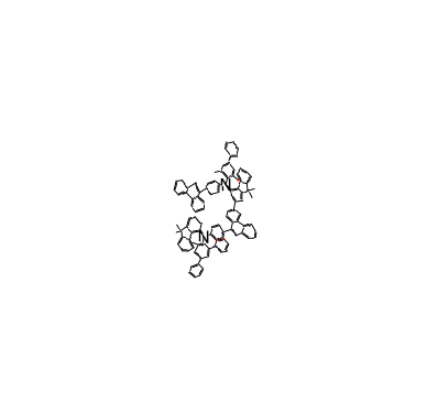 Cc1cc(-c2ccccc2)cc(C)c1N(c1ccc(-c2cc3ccccc3c3ccccc23)cc1)c1cc(-c2ccc3c(-c4ccc(N(c5cccc6c5-c5ccccc5C6(C)C)c5c(C)cc(-c6ccccc6)cc5-c5ccccc5)cc4)cc4ccccc4c3c2)cc2c1-c1ccccc1C2(C)C